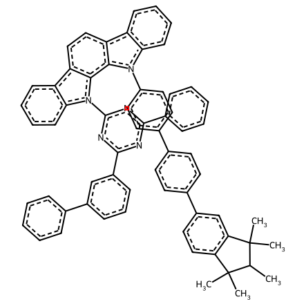 CC1C(C)(C)c2ccc(-c3ccc(-c4ccc(-n5c6ccccc6c6ccc7c8ccccc8n(-c8nc(-c9ccccc9)nc(-c9cccc(-c%10ccccc%10)c9)n8)c7c65)cc4)cc3)cc2C1(C)C